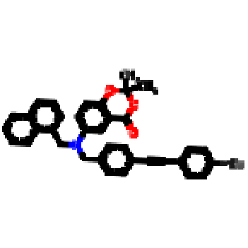 CCCCc1ccc(C#Cc2ccc(CN(Cc3cccc4ccccc34)c3ccc4c(c3)C(=O)OC(C)(C)O4)cc2)cc1